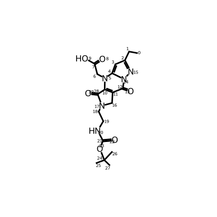 CCc1cc2n(CC(=O)O)c3c(c(=O)n2n1)CN(CCNC(=O)OC(C)(C)C)C3=O